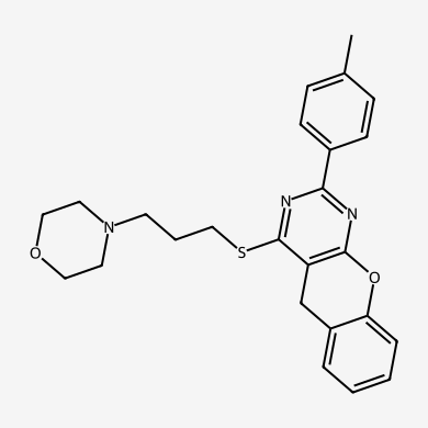 Cc1ccc(-c2nc3c(c(SCCCN4CCOCC4)n2)Cc2ccccc2O3)cc1